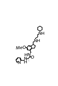 COc1cc(CNC(=O)[C@H](C)NCc2ccccn2)c2c(c1)C(CNCCCNC1CCCCC1)CC2